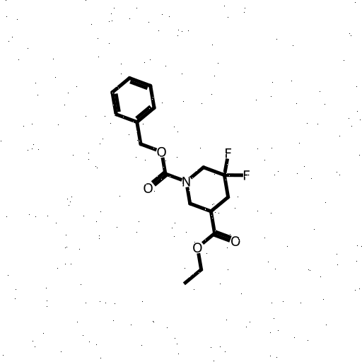 CCOC(=O)C1CN(C(=O)OCc2ccccc2)CC(F)(F)C1